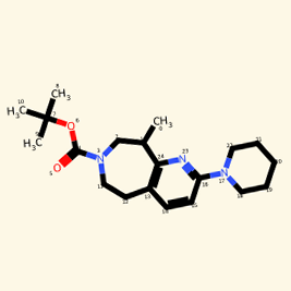 CC1CN(C(=O)OC(C)(C)C)CCc2ccc(N3CCCCC3)nc21